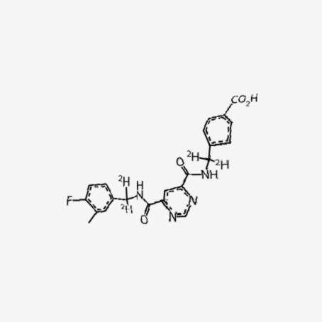 [2H]C([2H])(NC(=O)c1cc(C(=O)NC([2H])([2H])c2ccc(F)c(C)c2)ncn1)c1ccc(C(=O)O)cc1